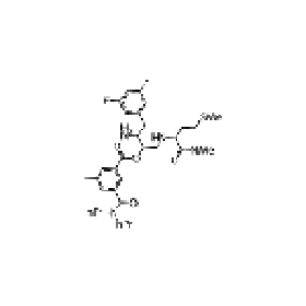 CCCN(CCC)C(=O)c1cc(C)cc(C(=O)O[C@H](CN[C@@H](CCSC)C(=O)NC)[C@@H](N)Cc2cc(F)cc(F)c2)c1